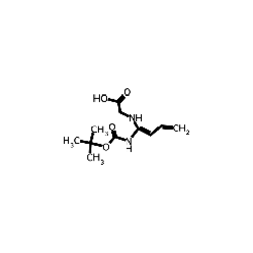 C=C/C=C(\NCC(=O)O)NC(=O)OC(C)(C)C